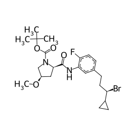 CO[C@@H]1C[C@H](C(=O)Nc2cc(CC[C@@H](Br)C3CC3)ccc2F)N(C(=O)OC(C)(C)C)C1